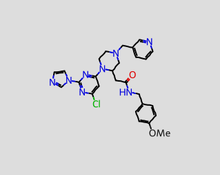 COc1ccc(CNC(=O)CC2CN(Cc3cccnc3)CCN2c2cc(Cl)nc(-n3ccnc3)n2)cc1